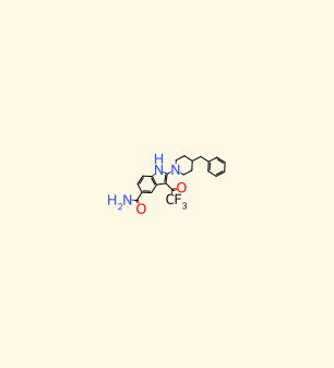 NC(=O)c1ccc2[nH]c(N3CCC(Cc4ccccc4)CC3)c(C(=O)C(F)(F)F)c2c1